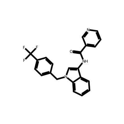 O=C(Nc1cn(Cc2ccc(C(F)(F)F)cc2)c2ccccc12)c1cccnc1